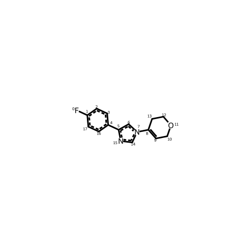 Fc1ccc(-c2cn(C3=CCOCC3)cn2)cc1